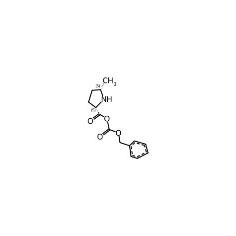 C[C@H]1CC[C@@H](C(=O)OC(=O)OCc2ccccc2)N1